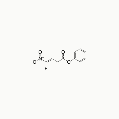 O=C(CC=C(F)[N+](=O)[O-])Oc1ccccc1